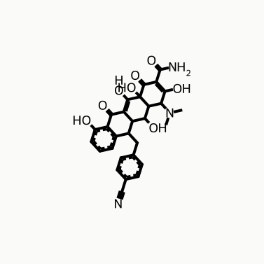 CN(C)C1C(O)=C(C(N)=O)C(=O)C2(O)C(O)=C3C(=O)c4c(O)cccc4C(Cc4ccc(C#N)cc4)C3C(O)C12